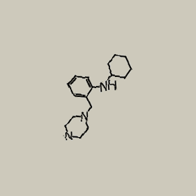 c1ccc(NC2CCCCC2)c(CN2CC[N]CC2)c1